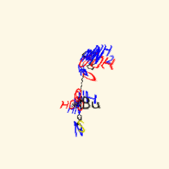 Cc1ncsc1-c1ccc(CNC(=O)[C@@H]2C[C@@H](O)CN2C(=O)[C@@H](NC(=O)CCCCCCCCC(=O)N2CCN(CCOc3ccccc3N3C4CCC3CN(c3cc(-c5ccccc5O)nnc3N)C4)CC2)C(C)(C)C)cc1